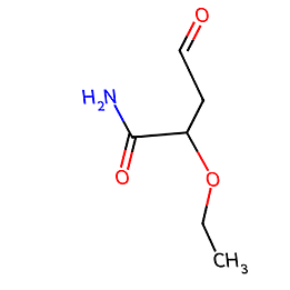 CCOC(CC=O)C(N)=O